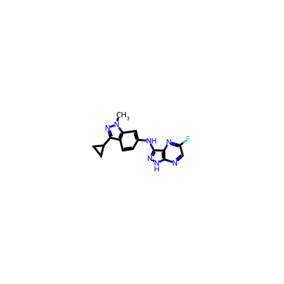 Cn1nc(C2CC2)c2ccc(Nc3n[nH]c4ncc(F)nc34)cc21